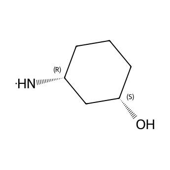 [NH][C@@H]1CCC[C@H](O)C1